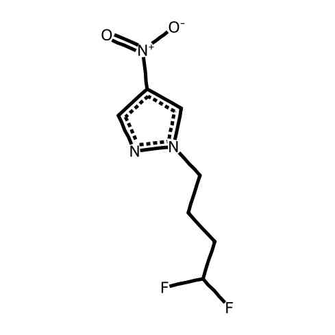 O=[N+]([O-])c1cnn(CCCC(F)F)c1